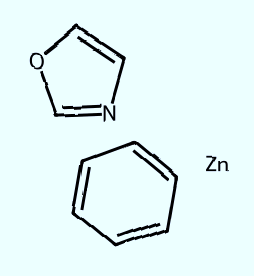 [Zn].c1ccccc1.c1cocn1